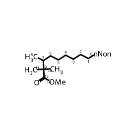 CCCCCCCCCCCCCCCC(C)C(C)(C)C(=O)OC